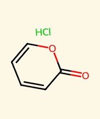 Cl.O=c1cccco1